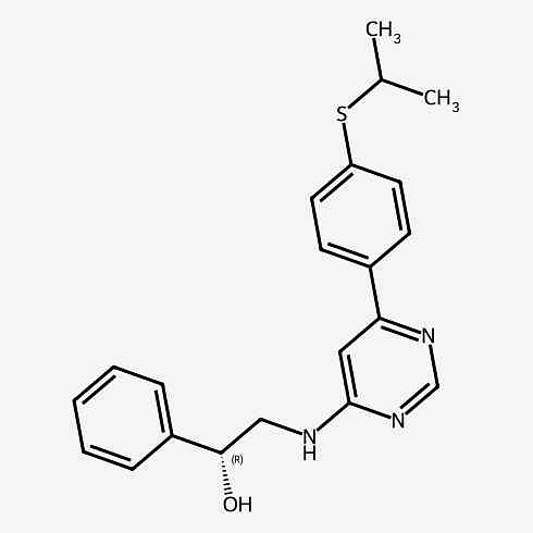 CC(C)Sc1ccc(-c2cc(NC[C@H](O)c3ccccc3)ncn2)cc1